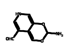 NC1OC=C2C(C=O)=CNC=C2O1